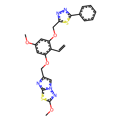 C=Cc1c(OCc2cn3nc(OC)sc3n2)cc(OC)cc1OCc1nnc(-c2ccccc2)s1